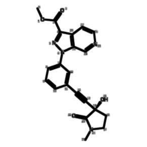 COC(=O)c1nn(-c2cccc(C#C[C@]3(O)CCN(C)C3=O)c2)c2cnccc12